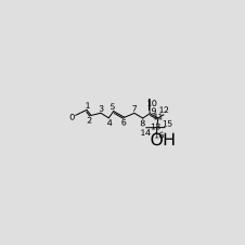 CC=CCCC=CCCC(I)=C(C)C(C)(C)O